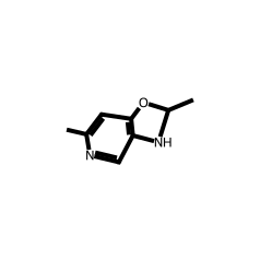 Cc1cc2c(cn1)NC(C)O2